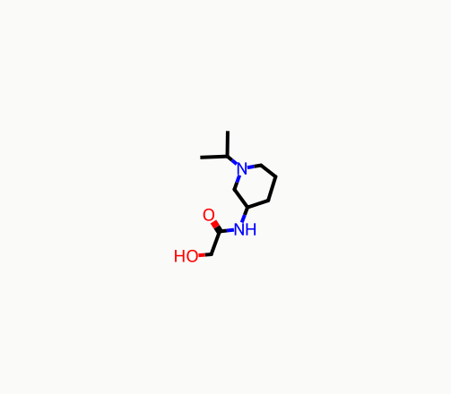 CC(C)N1CCCC(NC(=O)CO)C1